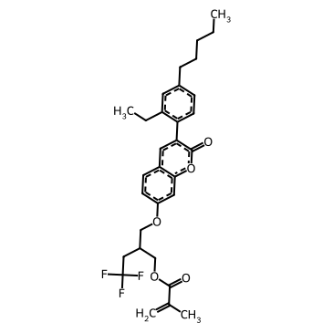 C=C(C)C(=O)OCC(COc1ccc2cc(-c3ccc(CCCCC)cc3CC)c(=O)oc2c1)CC(F)(F)F